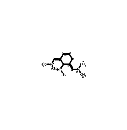 C[CH2][In]([CH2]C)[CH]1/C(=C\N(C)C)C=CC/C1=C\N(C)C